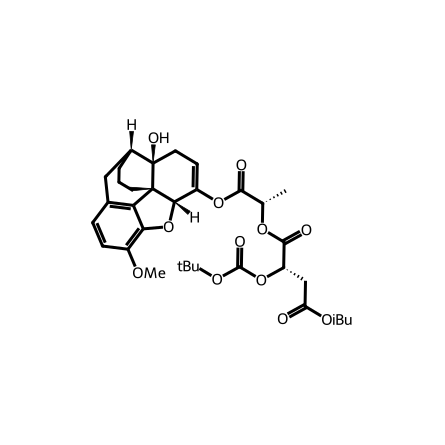 COc1ccc2c3c1O[C@H]1C(OC(=O)[C@H](C)OC(=O)[C@H](CC(=O)OCC(C)C)OC(=O)OC(C)(C)C)=CC[C@@]4(O)[C@H](CCC[C@]314)C2